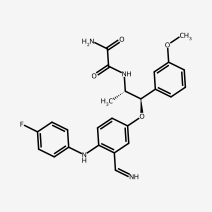 COc1cccc([C@@H](Oc2ccc(Nc3ccc(F)cc3)c(C=N)c2)[C@H](C)NC(=O)C(N)=O)c1